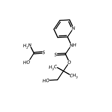 CC(C)(CO)OC(=S)Nc1ccccn1.NC(O)=S